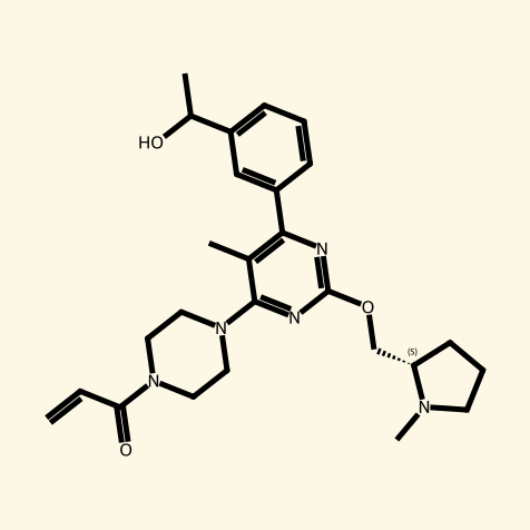 C=CC(=O)N1CCN(c2nc(OC[C@@H]3CCCN3C)nc(-c3cccc(C(C)O)c3)c2C)CC1